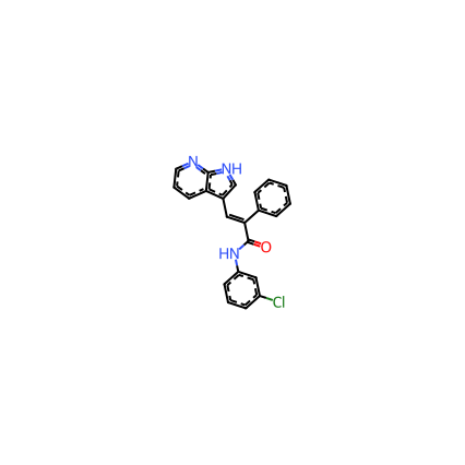 O=C(Nc1cccc(Cl)c1)/C(=C/c1c[nH]c2ncccc12)c1ccccc1